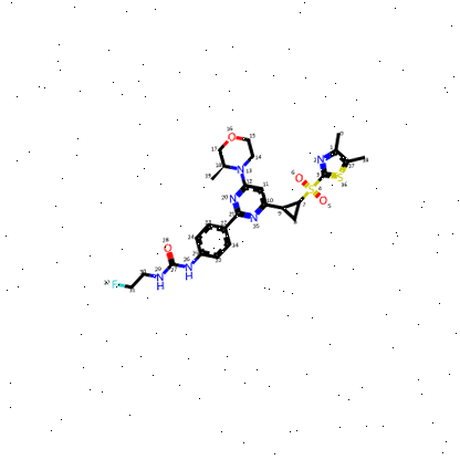 Cc1nc(S(=O)(=O)C2CC2c2cc(N3CCOC[C@@H]3C)nc(-c3ccc(NC(=O)NCCF)cc3)n2)sc1C